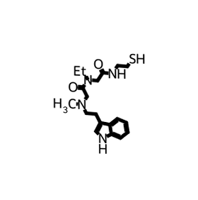 CCN(CC(=O)NCCS)C(=O)CN(C)CCc1c[nH]c2ccccc12